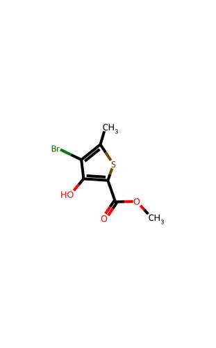 COC(=O)c1sc(C)c(Br)c1O